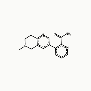 CN1CCc2ncc(-c3cccnc3C(N)=O)cc2C1